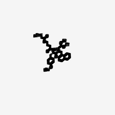 CCCCCCCCCCCC(=O)OCCCC(=O)N[C@@H](Cc1ccc(OC(C)(C)C)cc1)C(=O)N(Cc1cccc2ccccc12)CC(OCC)OCC